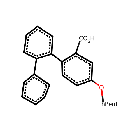 CCCCCOc1ccc(-c2ccccc2-c2ccccc2)c(C(=O)O)c1